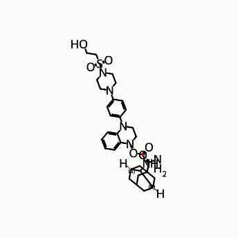 NC(=O)C12CC3C[C@H](C1)C(NC(=O)ON1CCN(c4ccc(N5CCN(S(=O)(=O)CCO)CC5)cc4)c4ccccc41)[C@@H](C3)C2